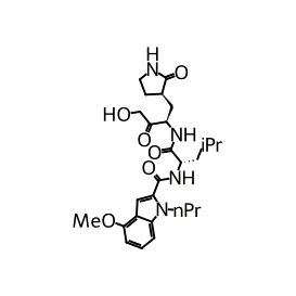 CCCn1c(C(=O)N[C@@H](CC(C)C)C(=O)N[C@H](C[C@H]2CCNC2=O)C(=O)CO)cc2c(OC)cccc21